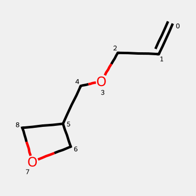 C=CCOCC1COC1